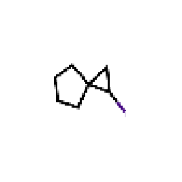 IC1CC12CCCC2